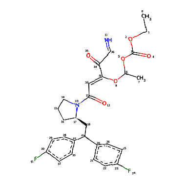 CCOC(=O)OC(C)O/C(=C\C(=O)N1CCC[C@@H]1CC(c1ccc(F)cc1)c1ccc(F)cc1)C(=O)C=N